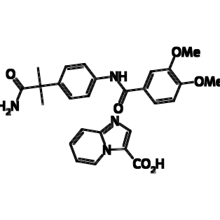 COc1ccc(C(=O)Nc2ccc(C(C)(C)C(N)=O)cc2)cc1OC.O=C(O)c1cnc2ccccn12